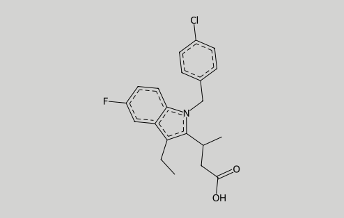 CCc1c(C(C)CC(=O)O)n(Cc2ccc(Cl)cc2)c2ccc(F)cc12